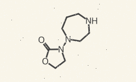 O=C1OCCN1N1CCCNCC1